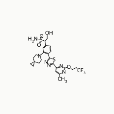 Cc1cc(-c2nnc(-c3ccc(C(CO)S(N)(=O)=O)cc3N3CCC4(CC3)CC4)s2)nc(OCCC(F)(F)F)n1